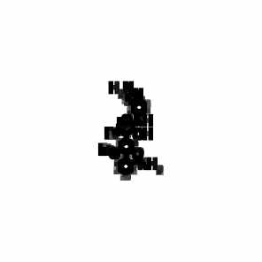 CCOc1cc(C(C(O)C(=O)Nc2ccc3nc(N)sc3c2)N(CC)CC)ccc1-c1ccccc1C(N)=O